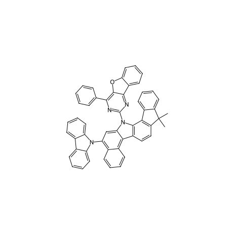 CC1(C)c2ccccc2-c2c1ccc1c3c4ccccc4c(-n4c5ccccc5c5ccccc54)cc3n(-c3nc(-c4ccccc4)c4oc5ccccc5c4n3)c21